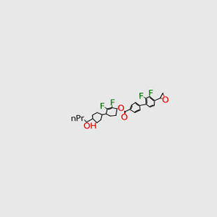 CCCC(O)C1CCC(C2CCC(OC(=O)c3ccc(-c4ccc(C5CO5)c(F)c4F)cc3)C(F)=C2F)CC1